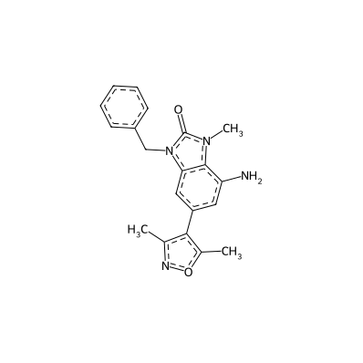 Cc1noc(C)c1-c1cc(N)c2c(c1)n(Cc1ccccc1)c(=O)n2C